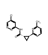 Cc1ccnc([C@H]2C[C@@H]2C(=O)Nc2cc(Cl)cnn2)n1